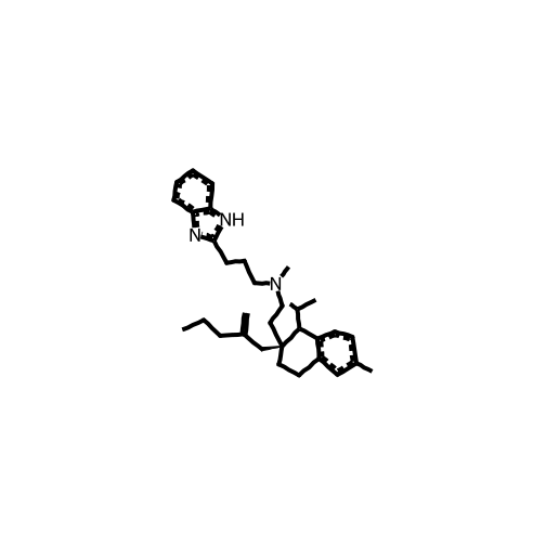 C=C(CCC)C[C@]1(CCN(C)CCCc2nc3ccccc3[nH]2)CCc2cc(C)ccc2C1C(C)C